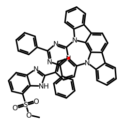 COS(=O)(=O)c1cccc2nc(-c3ccc(-n4c5ccccc5c5ccc6c7ccccc7n(-c7nc(-c8ccccc8)nc(-c8ccccc8)n7)c6c54)cc3)[nH]c12